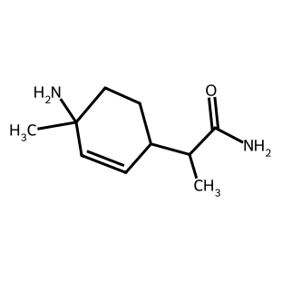 CC(C(N)=O)C1C=CC(C)(N)CC1